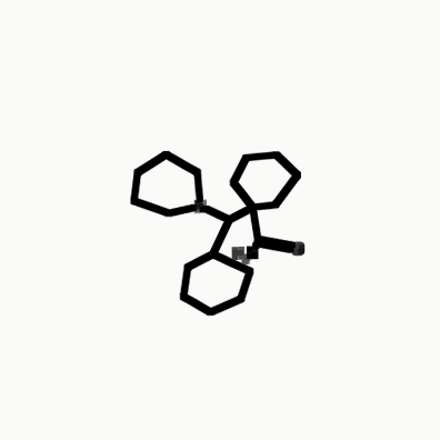 NC(=O)C1(C(C2CCCCC2)N2CCCCC2)CCCCC1